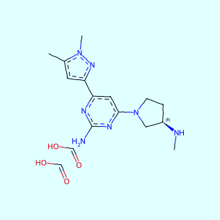 CN[C@@H]1CCN(c2cc(-c3cc(C)n(C)n3)nc(N)n2)C1.O=CO.O=CO